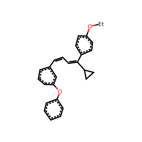 CCOc1ccc(/C(=C\C=C/c2cccc(Oc3ccccc3)c2)C2CC2)cc1